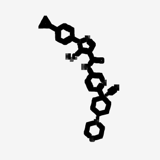 Cc1c(C(=O)Nc2ccc([C@]3(C#N)CC[C@@H](N4CCOCC4)CC3)nc2)cnn1-c1ccc(C2CC2)cc1